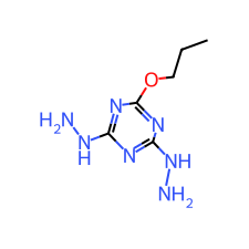 CCCOc1nc(NN)nc(NN)n1